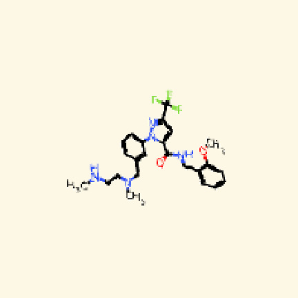 CNCCN(C)Cc1cccc(-n2nc(C(F)(F)F)cc2C(=O)NCc2ccccc2OC)c1